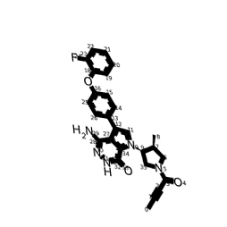 CC#CC(=O)N1C[C@H](C)[C@@H](n2cc(-c3ccc(Oc4ccccc4F)cc3)c3c(N)n[nH]c(=O)c32)C1